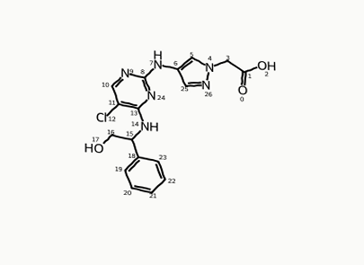 O=C(O)Cn1cc(Nc2ncc(Cl)c(NC(CO)c3ccccc3)n2)cn1